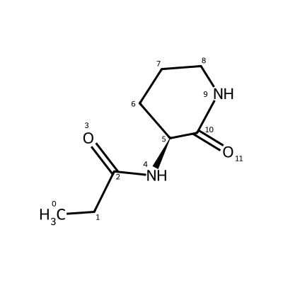 CCC(=O)N[C@H]1CCCNC1=O